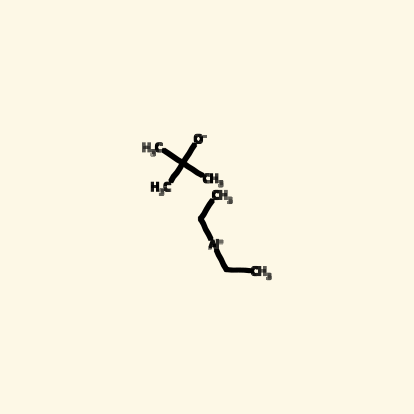 CC(C)(C)[O-].C[CH2][Al+][CH2]C